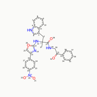 CC(Cc1c[nH]c2ccccc12)(Nc1nc(-c2ccc([N+](=O)[O-])cc2)co1)C(=O)NCC(=O)c1ccccc1